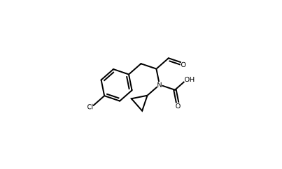 O=CC(Cc1ccc(Cl)cc1)N(C(=O)O)C1CC1